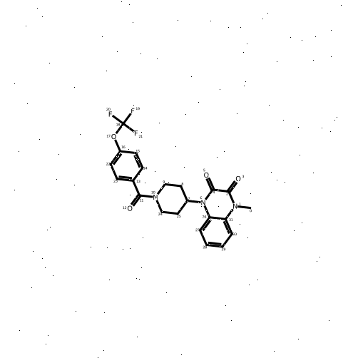 Cn1c(=O)c(=O)n(C2CCN(C(=O)c3ccc(OC(F)(F)F)cc3)CC2)c2ccccc21